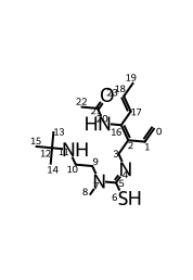 C=C/C(C/N=C(/S)N(C)CCNC(C)(C)C)=C(\C=C\C)NC(C)=O